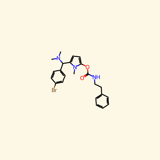 CN(C)C(c1ccc(Br)cc1)c1ccc(OC(=O)NCCc2ccccc2)n1C